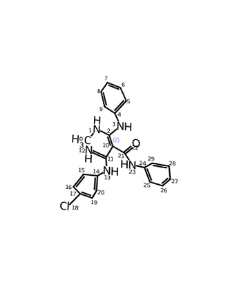 CN/C(Nc1ccccc1)=C(\C(=N)Nc1ccc(Cl)cc1)C(=O)Nc1ccccc1